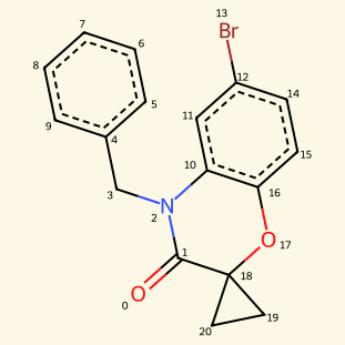 O=C1N(Cc2ccccc2)c2cc(Br)ccc2OC12CC2